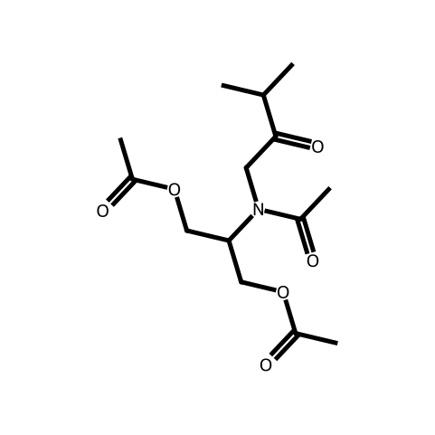 CC(=O)OCC(COC(C)=O)N(CC(=O)C(C)C)C(C)=O